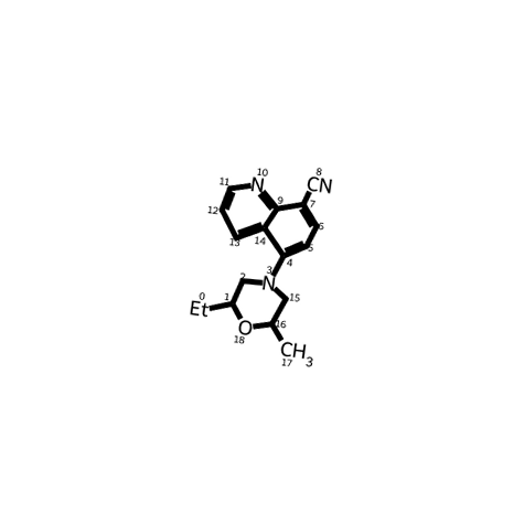 CCC1CN(c2ccc(C#N)c3ncccc23)CC(C)O1